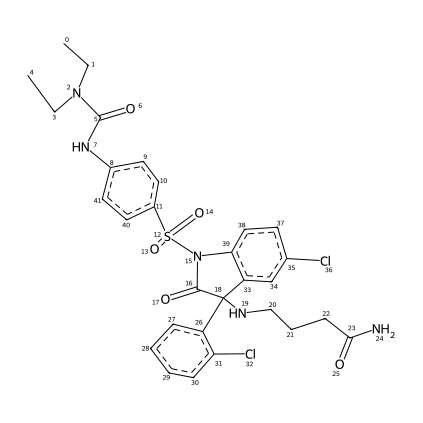 CCN(CC)C(=O)Nc1ccc(S(=O)(=O)N2C(=O)C(NCCCC(N)=O)(c3ccccc3Cl)c3cc(Cl)ccc32)cc1